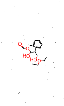 CCOCC.Cc1ccccc1C(CO)C(O)OC=O